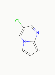 Clc1cnc2[c]ccn2c1